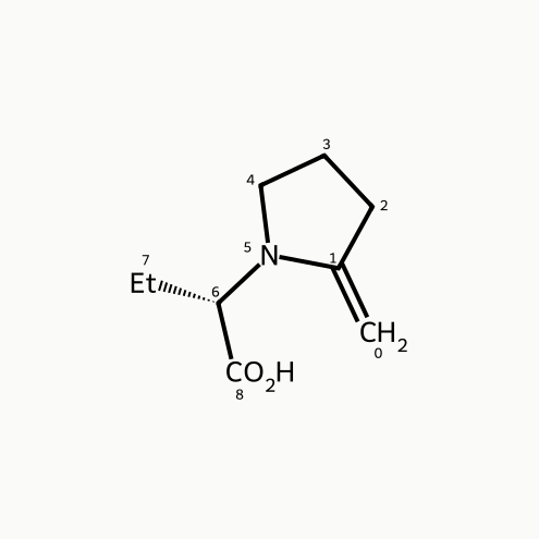 C=C1CCCN1[C@@H](CC)C(=O)O